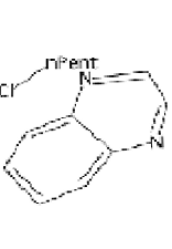 CCCCCCl.c1ccc2nccnc2c1